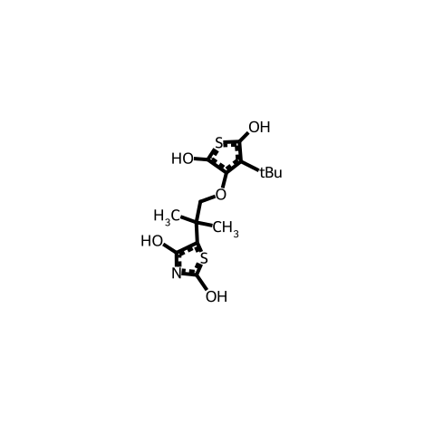 CC(C)(C)c1c(O)sc(O)c1OCC(C)(C)c1sc(O)nc1O